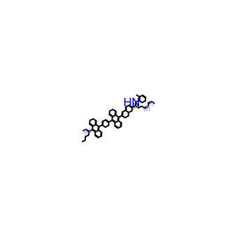 C/C=C\C=C/CC[C@H](NC1=C(C)C=CCC1)C1=CC=C2C=C(c3c4c(c(C5=CC=C(c6c7c(c(/C(=C/C)CCCC)c8ccccc68)=CCCC=7)CC5)c5ccccc35)=CCCC=4)CCC2C1